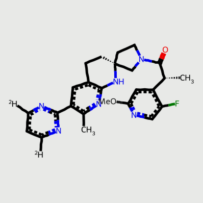 [2H]c1cc([2H])nc(-c2cc3c(nc2C)N[C@@]2(CC3)CCN(C(=O)[C@H](C)c3cc(OC)ncc3F)C2)n1